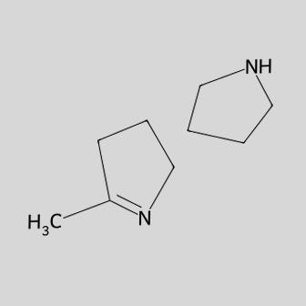 C1CCNC1.CC1=NCCC1